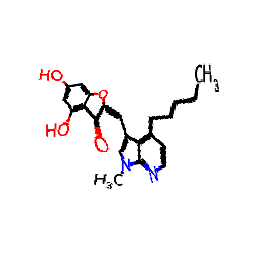 CCCCCc1ccnc2c1c(C=C1Oc3cc(O)cc(O)c3C1=O)cn2C